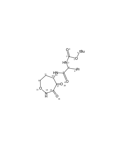 CC(C)C(NC(=O)OC(C)(C)C)C(=O)NC1CCONC(=O)C1=O